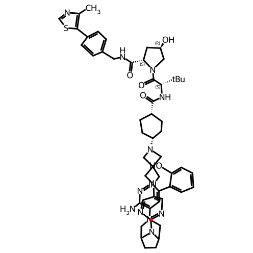 Cc1ncsc1-c1ccc(CNC(=O)[C@@H]2C[C@@H](O)CN2C(=O)[C@@H](NC(=O)[C@H]2CC[C@@H](N3CC4(CN(c5cnc(N6C7CCC6CN(c6cc(-c8ccccc8O)nnc6N)C7)nc5)C4)C3)CC2)C(C)(C)C)cc1